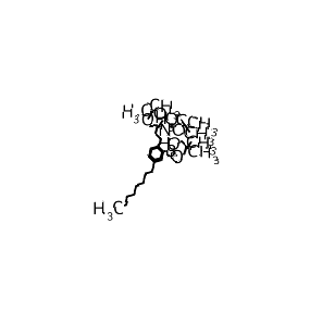 CCCCCCCCc1ccc(CCC2(NC(=O)OC(C)(C)C)COC(C)(C)OC2)c(B2OCC(C)(C)CO2)c1